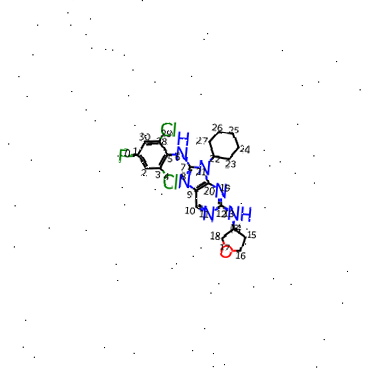 Fc1cc(Cl)c(Nc2nc3cnc(N[C@H]4CCOC4)nc3n2C2CCCCC2)c(Cl)c1